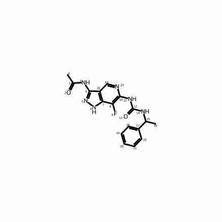 CC(=O)Nc1n[nH]c2c(F)c(NC(=O)NC(C)c3ccccc3)ncc12